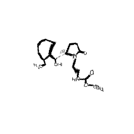 C=Cc1ccccc1C(O)[C@@H]1CCC(=O)N1CCNC(=O)OC(C)(C)C